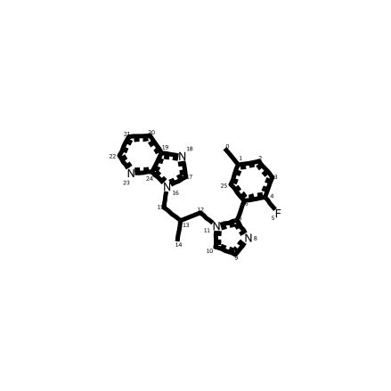 Cc1ccc(F)c(-c2nccn2CC(C)Cn2cnc3cccnc32)c1